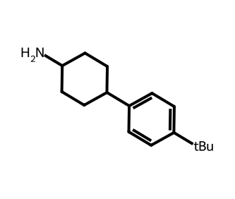 CC(C)(C)c1ccc(C2CCC(N)CC2)cc1